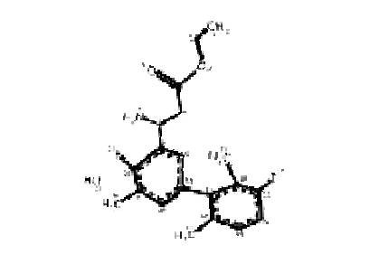 CCOC(=O)C[C@H](N)c1cc(-c2c(C)ccc(F)c2C)cc(C)c1F.Cl